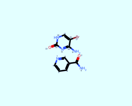 NC(=O)c1cccnc1.Nc1nc(=O)[nH]cc1Br